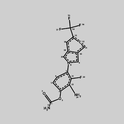 NC(=O)Oc1ccc(-n2cc3ccc(C(F)(F)F)cc3c2)c(F)c1N